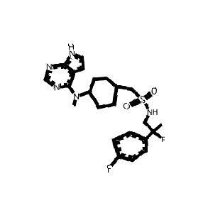 CN(c1ncnc2[nH]ccc12)C1CCC(CS(=O)(=O)NCC(C)(F)c2ccc(F)cc2)CC1